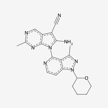 Cc1ncc2c(C#N)c(N)n(-c3nccc4c3c(C)nn4C3CCCCO3)c2n1